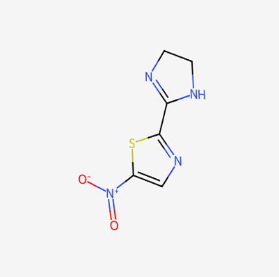 O=[N+]([O-])c1cnc(C2=NCCN2)s1